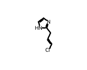 ClC=CCc1ncc[nH]1